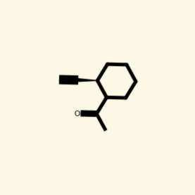 C#C[C@H]1CCCCC1C(C)=O